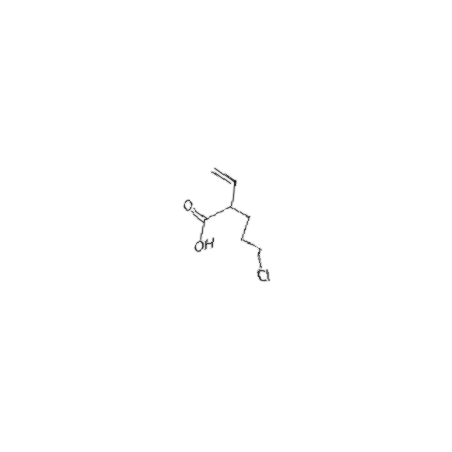 C=CC(CCCCl)C(=O)O